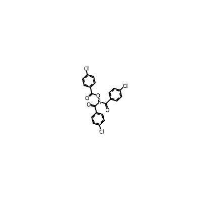 O=C(ON(C(=O)c1ccc(Cl)cc1)C(=O)c1ccc(Cl)cc1)c1ccc(Cl)cc1